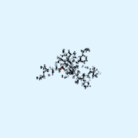 COc1ccc(OC)c(C(=O)O[C@H]2[C@@H]3[C@]4(OC(C)=O)CO[C@@H]4C[C@H]4O[C@@H]([C@H](OC(=O)NCC(C)(C)SSC)C5=C(C)[C@@H](OC(=O)[C@H](O)[C@@H](NC(=O)OC(C)(C)C)c6ccco6)C[C@]2(O)C5(C)C)[C@@]34C)c1